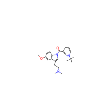 COc1ccc2c(c1)c(CCN(C)C)cn2C(=O)C1=CN(C(C)(C)C)C=CC1